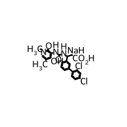 Cc1cn(C)c(=O)c(NC(=O)NC(CC(=O)O)c2cccc(-c3ccc(Cl)cc3Cl)c2)c1O.[NaH]